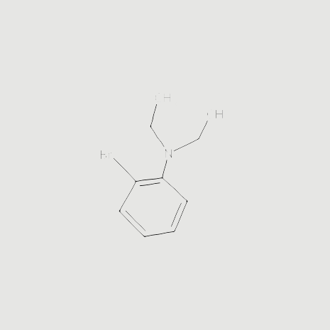 CCN(CC)c1ccc[c]c1Br